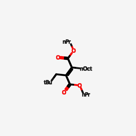 CCCCCCCCC(C(=O)OCCC)=C(CC(C)(C)C)C(=O)OCCC